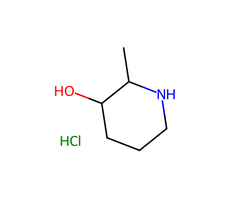 CC1NCCCC1O.Cl